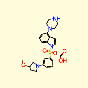 COC1CCN(c2cccc(S(=O)(=O)n3ccc4c(N5CCNCC5)cccc43)c2)C1.O=CO